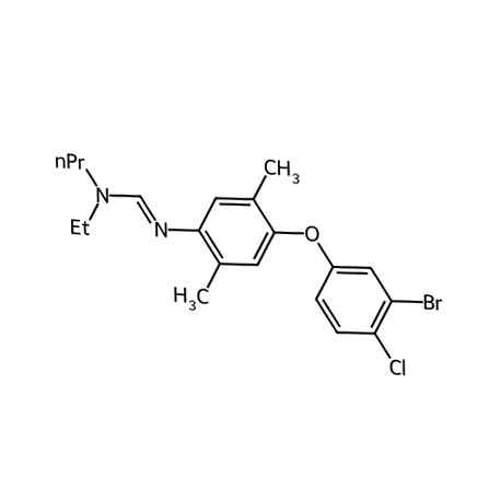 CCCN(C=Nc1cc(C)c(Oc2ccc(Cl)c(Br)c2)cc1C)CC